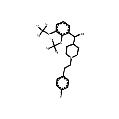 [2H]C([2H])([2H])Oc1cccc(C(O)C2CCN(CCc3ccc(F)cc3)CC2)c1OC([2H])([2H])[2H]